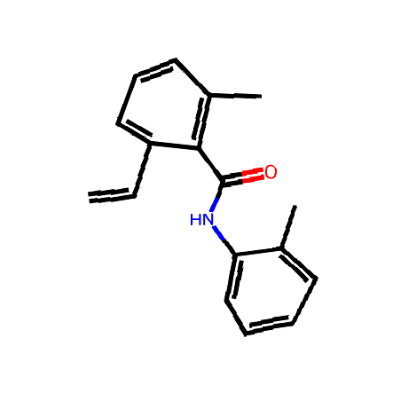 C=Cc1cccc(C)c1C(=O)Nc1ccccc1C